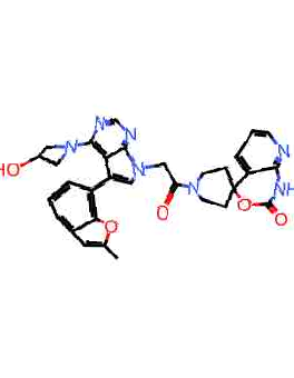 Cc1cc2cccc(-c3cn(CC(=O)N4CCC5(CC4)OC(=O)Nc4ncccc45)c4ncnc(N5CC(O)C5)c34)c2o1